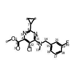 COC(=O)c1nc(C2CC2)nc(N(C)Cc2cccc(F)c2)c1Cl